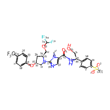 CCS(=O)(=O)c1ccc([C@H](CO)NC(=O)c2cnc(N3C[C@@H](Oc4ccc(C(F)(F)F)cc4)C[C@H]3COC(F)F)n2C)cc1